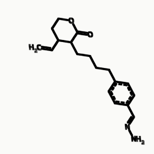 C=CC1CCOC(=O)C1CCCCc1ccc(C=NN)cc1